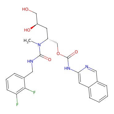 CN(C(=O)NCc1cccc(F)c1F)[C@@H](COC(=O)Nc1cc2ccccc2cn1)C[C@@H](O)CO